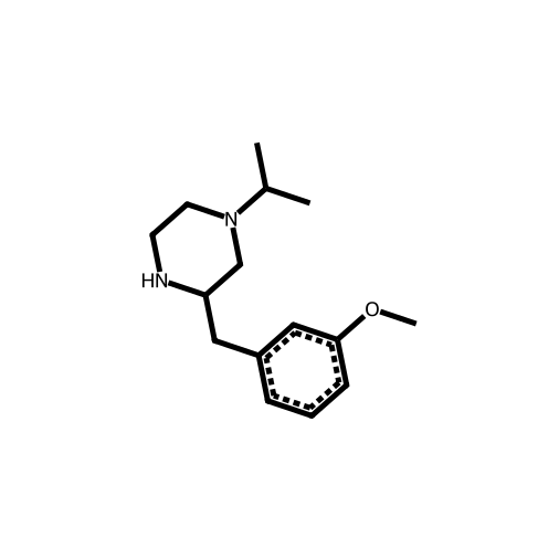 COc1cccc(CC2CN(C(C)C)CCN2)c1